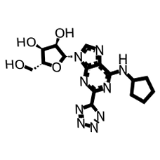 OC[C@H]1O[C@@H](n2cnc3c(NC4CCCC4)nc(C4N=NN=N4)nc32)[C@H](O)[C@@H]1O